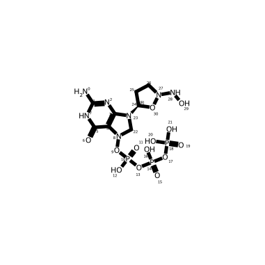 Nc1nc2c(c(=O)[nH]1)N(OP(=O)(O)OP(=O)(O)OP(=O)(O)O)CN2[C@H]1CCN(NO)O1